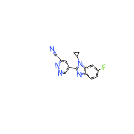 N#Cc1cc(-c2nc3ccc(F)cc3n2C2CC2)cnn1